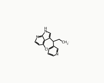 [CH2]CC(c1cccnc1)c1c[nH]c2nccc(Cl)c12